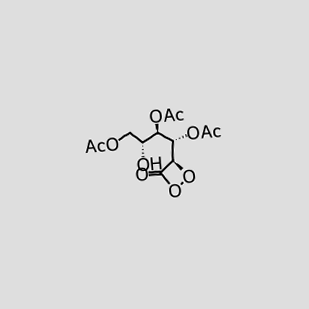 CC(=O)OC[C@@H](O)[C@@H](OC(C)=O)[C@H](OC(C)=O)[C@H]1OOC1=O